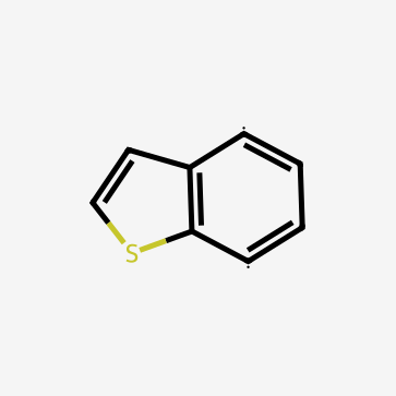 [c]1cc[c]c2sccc12